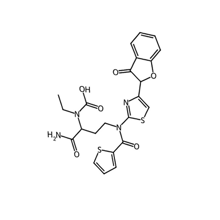 CCN(C(=O)O)C(CCN(C(=O)c1cccs1)c1nc(C2Oc3ccccc3C2=O)cs1)C(N)=O